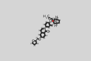 COCCN1[C@@H]2CC[C@H]1C[C@@H](Oc1ccc(-n3ccc4cc(OC[C@H]5CCCO5)ccc4c3=O)cc1F)C2